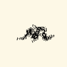 COc1cc(C(=O)N2CCO[C@](CCN3CCC4(CC3)c3ccccc3C[C@@H]4OCC(=O)N(C)CCOCCO)(c3ccc(Cl)c(Cl)c3)C2)cc(OC)c1OC.Cl